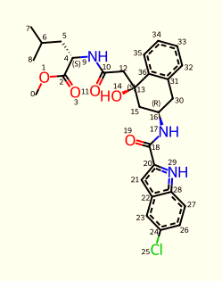 COC(=O)[C@H](CC(C)C)NC(=O)C[C@@]1(O)C[C@H](NC(=O)c2cc3cc(Cl)ccc3[nH]2)Cc2ccccc21